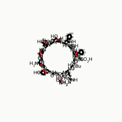 CCCC[C@H]1C(=O)N(C)[C@@H](CCCC)C(=O)N[C@@H](CCCNC(=N)N)C(=O)N[C@H](C(=O)NCC(N)=O)CSCC(=O)N[C@@H](Cc2ccc(O)cc2)C(=O)N(C)[C@@H](C)C(=O)N[C@@H](CC(N)=O)C(=O)N2CCC[C@H]2C(=O)N[C@@H](Cc2cnc[nH]2)C(=O)N[C@@H](CC(=O)O)C(=O)N2C[C@H](O)C[C@H]2C(=O)N[C@@H](Cc2c[nH]c3ccccc23)C(=O)N[C@@H](CO)C(=O)N[C@@H](Cc2cn(CC(=O)O)c3ccccc23)C(=O)N1C